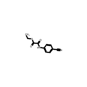 CCOC(=O)C(=O)Nc1ccc(C#N)cc1